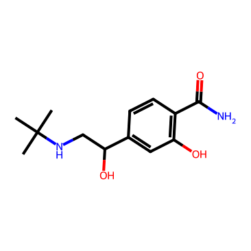 CC(C)(C)NCC(O)c1ccc(C(N)=O)c(O)c1